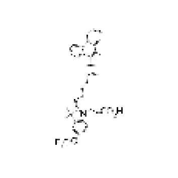 C=C(/C=C/C=C/C=C1\N(CCC(=O)O)c2ccc(OC(F)(F)F)cc2C1(C)C)C(C)(C)c1c(C)c2ccccc2c2ccccc12